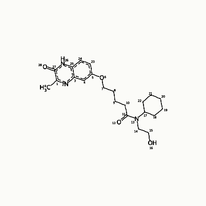 Cc1nc2cc(OCCCCC(=O)N(CCO)C3CCCCC3)ccc2[nH]c1=O